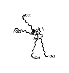 CCCCCCCC/C=C\CCCCCCCC(=O)OC(CN(C)C)C(OC(=O)CCCCCCC/C=C\CCCCCCCC)(OC(=O)CCCCCCC/C=C\CCCCCCCC)OC(=O)CCCCCCC/C=C\CCCCCCCC